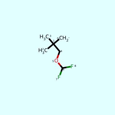 [CH2]C(C)(C)COC(F)F